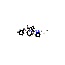 CCOC(=O)c1cccc(C)c1NC(=O)C1([N+]2(CC(=O)OCc3ccccc3)CCCCCC2)CCC1